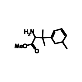 COC(=O)C(N)C(C)(C)C1=CC=CC(C)C1